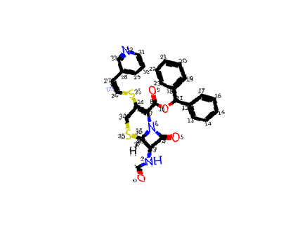 O=CNC1C(=O)N2C(C(=O)OC(c3ccccc3)c3ccccc3)=C(S/C=C\c3cccnc3)CS[C@H]12